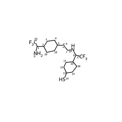 NC(C1CCC(SCNC(C2CCC(S)CC2)C(F)(F)F)CC1)C(F)(F)F